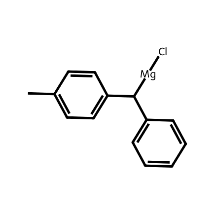 Cc1ccc([CH]([Mg][Cl])c2ccccc2)cc1